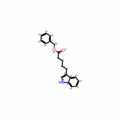 O=C(CCCCc1c[nH]c2ccccc12)OCc1ccccc1